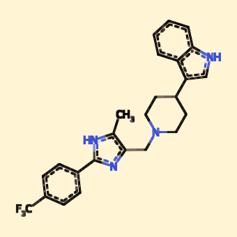 Cc1[nH]c(-c2ccc(C(F)(F)F)cc2)nc1CN1CCC(c2c[nH]c3ccccc23)CC1